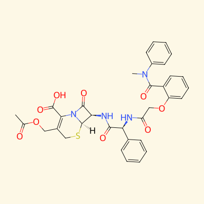 CC(=O)OCC1=C(C(=O)O)N2C(=O)[C@@H](NC(=O)[C@@H](NC(=O)COc3ccccc3C(=O)N(C)c3ccccc3)c3ccccc3)[C@H]2SC1